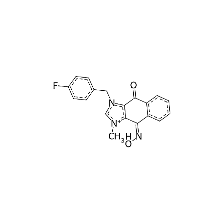 C[n+]1cn(Cc2ccc(F)cc2)c2c1/C(=N\O)c1ccccc1C2=O